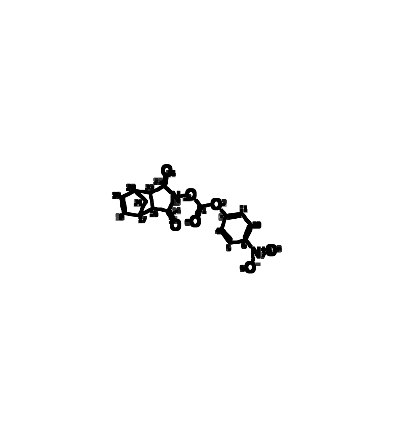 O=C(Oc1ccc([N+](=O)[O-])cc1)ON1C(=O)C2C3C=CC(C3)C2C1=O